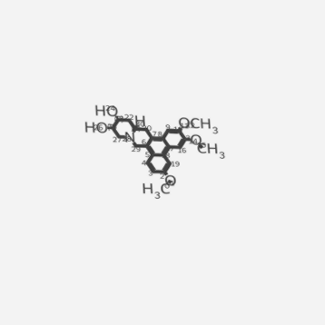 COc1ccc2c3c(c4cc(OC)c(OC)cc4c2c1)C[C@H]1C[C@@H](O)[C@H](O)CN1C3